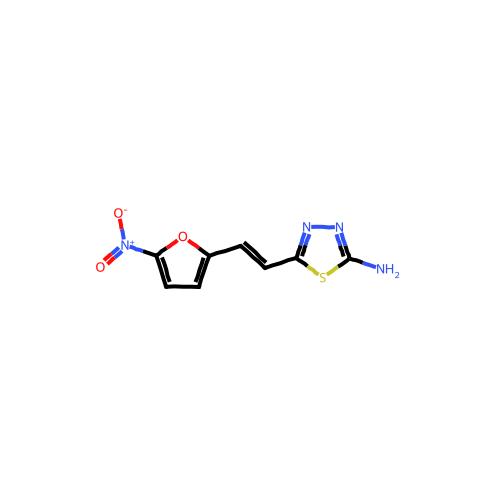 Nc1nnc(C=Cc2ccc([N+](=O)[O-])o2)s1